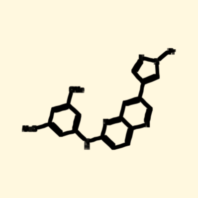 COc1cc(Nc2ccc3ncc(-c4cnn(C(C)C)c4)cc3n2)cc(OC)c1